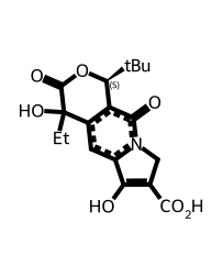 CCC1(O)C(=O)O[C@@H](C(C)(C)C)c2c1cc1n(c2=O)CC(C(=O)O)=C1O